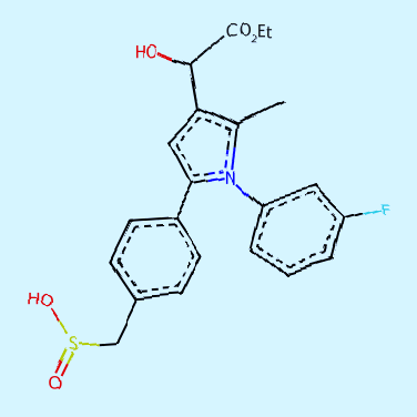 CCOC(=O)C(O)c1cc(-c2ccc(CS(=O)O)cc2)n(-c2cccc(F)c2)c1C